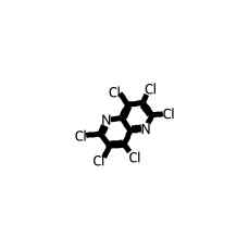 Clc1nc2c(Cl)c(Cl)c(Cl)nc2c(Cl)c1Cl